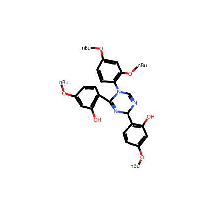 CCCCOc1ccc(C2=NC(c3ccc(OCCCC)cc3O)N=CN2c2ccc(OCCCC)cc2OCCCC)c(O)c1